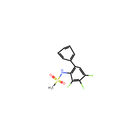 CS(=O)(=O)Nc1c(-c2ccccc2)cc(F)c(F)c1F